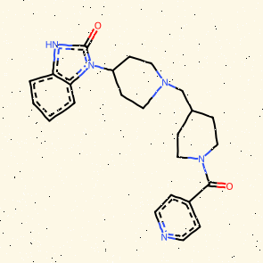 O=C(c1ccncc1)N1CCC(CN2CCC(n3c(=O)[nH]c4ccccc43)CC2)CC1